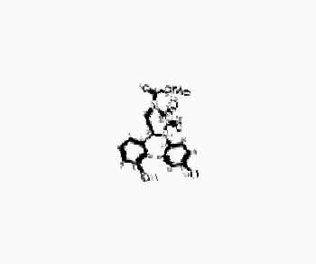 COC(=O)N1C[C@H](c2cccc(O)c2)N(c2ccc(Cl)cc2)S1(=O)=O